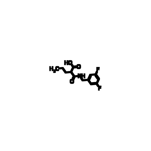 CCCC(C(=O)O)C(=O)NCc1cc(F)cc(F)c1